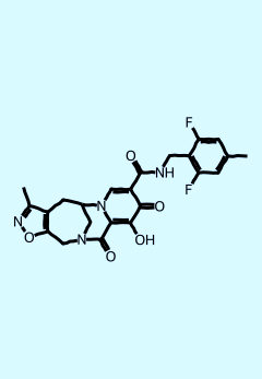 Cc1cc(F)c(CNC(=O)c2cn3c(c(O)c2=O)C(=O)N2Cc4onc(C)c4CC3C2)c(F)c1